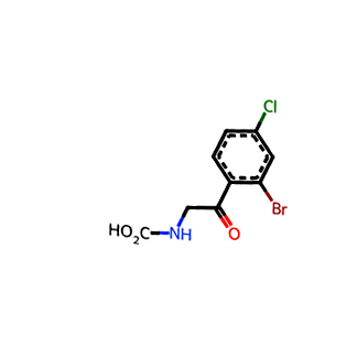 O=C(O)NCC(=O)c1ccc(Cl)cc1Br